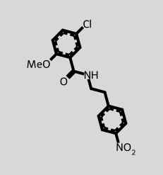 COc1ccc(Cl)cc1C(=O)NCCc1ccc([N+](=O)[O-])cc1